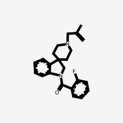 C=C(C)CN1CCC2(CC1)CN(C(=O)c1ccccc1F)c1ccccc12